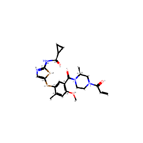 C=CC(=O)N1CCN(C(=O)c2cc(Sc3cnc(NC(=O)C4CC4)s3)c(C)cc2OC)[C@@H](C)C1